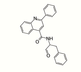 O=CC(Cc1ccccc1)NC(=O)c1cc(-c2ccccc2)nc2ccccc12